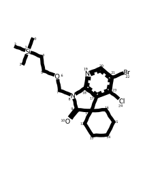 C[Si](C)(C)CCOCN1C(=O)C2(CCCCC2)c2c1ncc(Br)c2Cl